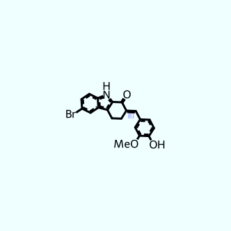 COc1cc(/C=C2\CCc3c([nH]c4ccc(Br)cc34)C2=O)ccc1O